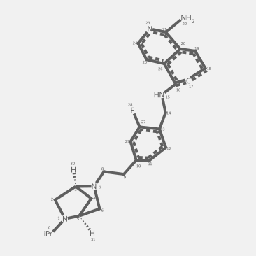 CC(C)N1C[C@@H]2C[C@H]1CN2CCc1ccc(CNc2cccc3c(N)nccc23)c(F)c1